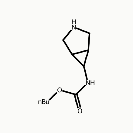 CCCCOC(=O)NC1C2CNCC21